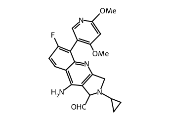 COc1cc(OC)c(-c2c(F)ccc3c(N)c4c(nc23)CN(C2CC2)C4C=O)cn1